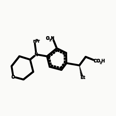 CCCN(c1ccc([C@@H](CC)CC(=O)O)cc1[N+](=O)[O-])C1CCOCC1